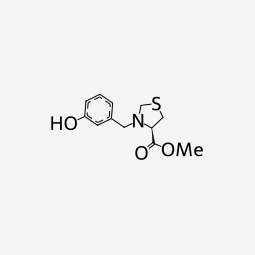 COC(=O)[C@@H]1CSCN1Cc1cccc(O)c1